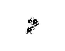 O=C(Cc1ccc(Cl)c(Cl)c1)N(CCF)[C@H](CN1CC[C@H](O)C1)c1ccccc1